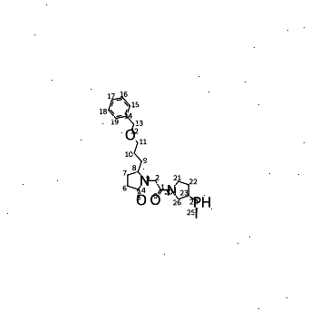 O=C(CN1C(=O)CCC1CCCOCc1ccccc1)N1CC[C@@H](PI)C1